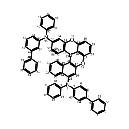 c1ccc(-c2ccc(N(c3ccccc3)c3cc4c(c5ccccc35)B3c5c(cccc5Oc5cc(N(c6ccccc6)c6cccc(-c7ccccc7)c6)c6ccccc6c53)O4)cc2)cc1